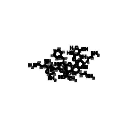 C[C@@H](O)[C@H](NC(=O)[C@H](CCCN)NC(=O)[C@H](CCN)NC(=O)[C@@H](NC(=O)[C@@H](Cc1ccccc1)NC(=O)[C@H](CCN)NC(=O)[C@@H](N)CCN)[C@@H](C)O)C(=O)O